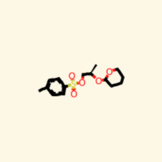 Cc1ccc(S(=O)(=O)OC[C@@H](C)OC2CCCCO2)cc1